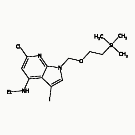 CCNc1cc(Cl)nc2c1c(I)cn2COCC[Si](C)(C)C